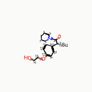 CCCCC(C(=O)N1CCCCC1)c1ccc(OCCO)cc1